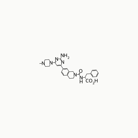 CN1CCN(c2cc(-c3ccc4c(c3)CN(C(=O)NC(Cc3ccccc3)C(=O)O)CC4)nc(N)n2)CC1